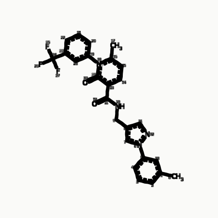 Cc1cccc(-n2cc(CNC(=O)c3ccc(C)n(-c4cccc(C(F)(F)F)c4)c3=O)cn2)c1